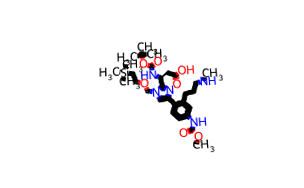 CNCCCc1cc(NC(=O)OC)ccc1-c1cn(COCC[Si](C)(C)C)c([C@H](CC(=O)O)NC(=O)OC(C)(C)C)n1